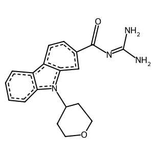 NC(N)=NC(=O)c1ccc2c3ccccc3n(C3CCOCC3)c2c1